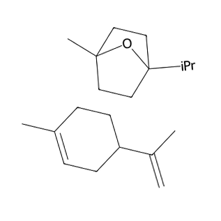 C=C(C)C1CC=C(C)CC1.CC(C)C12CCC(C)(CC1)O2